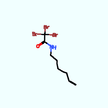 CCCCCCNC(=O)C(Br)(Br)Br